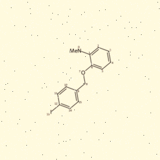 CNc1ccccc1OCc1ccc(I)cc1